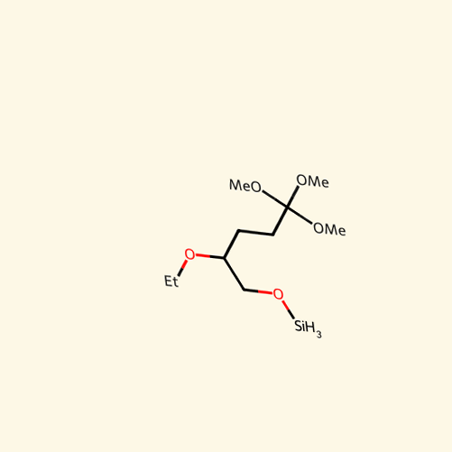 CCOC(CCC(OC)(OC)OC)CO[SiH3]